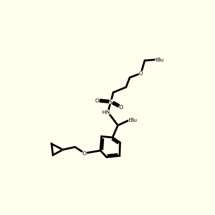 CC(C)(C)COCCCS(=O)(=O)NC(c1cccc(OCC2CC2)c1)C(C)(C)C